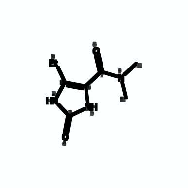 CCc1[nH]c(=O)[nH]c1C(=O)N(C)C